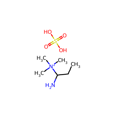 CCC(N)[N+](C)(C)C.O=S(=O)(O)O